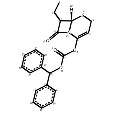 O=C(OC1=CCS[C@H]2C(CI)C(=O)N12)OC(c1ccccc1)c1ccccc1